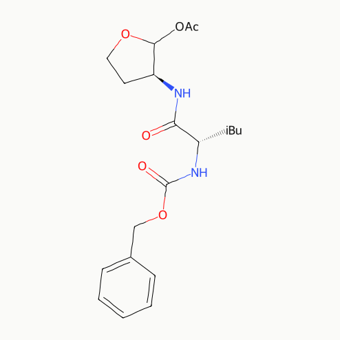 CCC(C)[C@H](NC(=O)OCc1ccccc1)C(=O)N[C@H]1CCOC1OC(C)=O